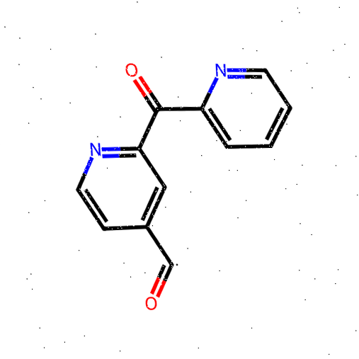 O=[C]c1ccnc(C(=O)c2ccccn2)c1